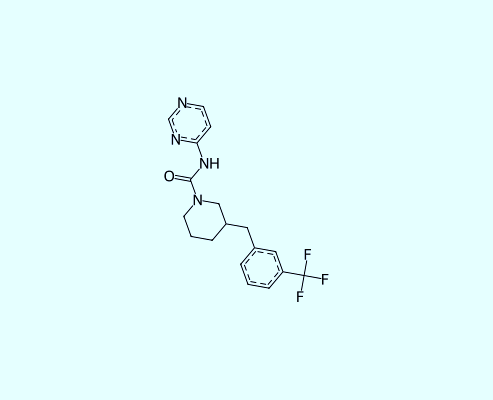 O=C(Nc1ccncn1)N1CCCC(Cc2cccc(C(F)(F)F)c2)C1